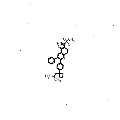 C[C](C)CC1(c2ccc(-c3nc4c(cc3-c3ccccc3)-c3n[nH]c(S(C)(=O)=O)c3CC4)cc2)CCC1